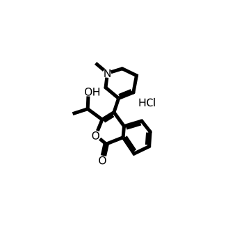 CC(O)c1oc(=O)c2ccccc2c1C1=CCCN(C)C1.Cl